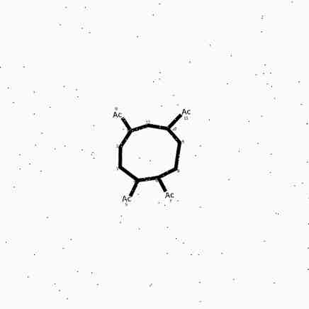 CC(=O)C1CCC(C(C)=O)C(C(C)=O)CCC(C(C)=O)C1